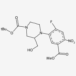 COC(=O)c1cc(N2CCN(C(=O)OC(C)(C)C)CC2CO)c(F)cc1[N+](=O)[O-]